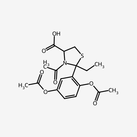 CCC1(c2cc(OC(C)=O)ccc2OC(C)=O)SCC(C(=O)O)N1C(C)=O